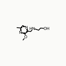 COc1nc(C)cnc1CNCCO